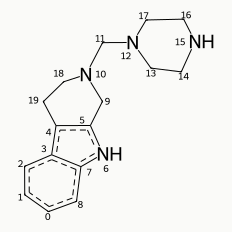 c1ccc2c3c([nH]c2c1)CN(CN1CCNCC1)CC3